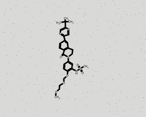 COCCOCOc1ccc(N2CCc3cc(-c4cnc(C(C)(C)C)cn4)ccc3C2=O)cc1NS(C)(=O)=O